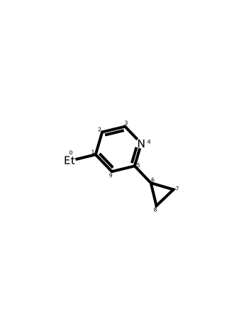 CCc1ccnc(C2CC2)c1